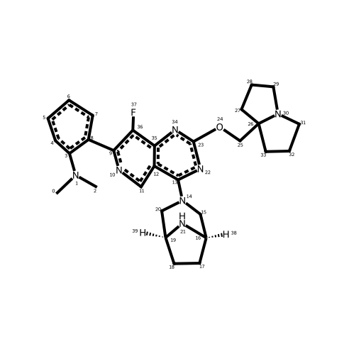 CN(C)c1ccccc1-c1ncc2c(N3C[C@H]4CC[C@@H](C3)N4)nc(OCC34CCCN3CCC4)nc2c1F